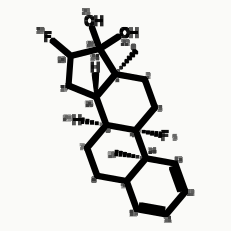 C[C@]12CC[C@]3(F)[C@@H](CCC4C=CC=C[C@@]43C)[C@@H]1CC(F)C2(O)O